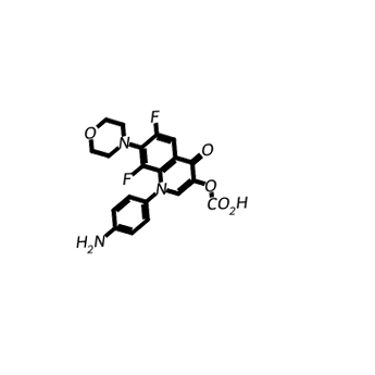 Nc1ccc(-n2cc(OC(=O)O)c(=O)c3cc(F)c(N4CCOCC4)c(F)c32)cc1